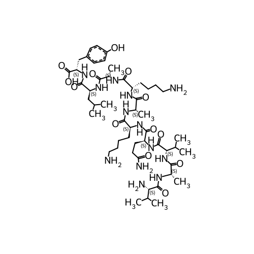 CC(C)C[C@H](NC(=O)[C@H](C)NC(=O)[C@H](CCCCN)NC(=O)[C@H](C)NC(=O)[C@H](CCCCN)NC(=O)[C@H](CCC(N)=O)NC(=O)[C@@H](NC(=O)[C@H](C)NC(=O)[C@@H](N)C(C)C)C(C)C)C(=O)N[C@@H](Cc1ccc(O)cc1)C(=O)O